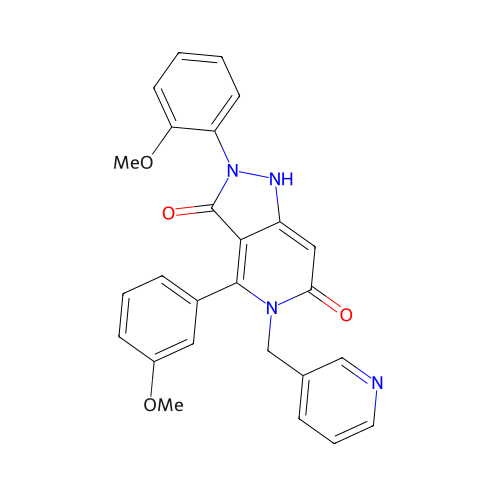 COc1cccc(-c2c3c(=O)n(-c4ccccc4OC)[nH]c3cc(=O)n2Cc2cccnc2)c1